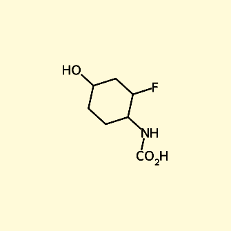 O=C(O)NC1CCC(O)CC1F